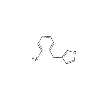 Cc1ccccc1Cc1[c]occ1